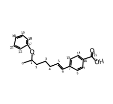 CC(CCC/C=C/c1ccc(C(=O)O)cc1)Oc1ccccc1